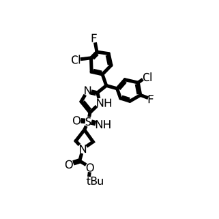 CC(C)(C)OC(=O)N1CC(S(=N)(=O)c2cnc(C(c3ccc(F)c(Cl)c3)c3ccc(F)c(Cl)c3)[nH]2)C1